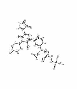 CC1CCC([C@H](NC(=O)c2ccnn2C)C(=O)Nc2cc(C(NC(=O)CCC(F)(F)F)C3CC3)ccn2)CC1